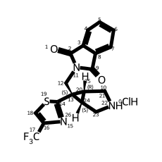 Cl.O=C1c2ccccc2C(=O)N1C[C@@]1(c2nc(C(F)(F)F)cs2)[C@@H]2CNC[C@@H]21